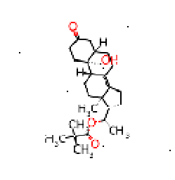 C[C@H](OC(=O)C(C)(C)C)[C@H]1CCC2=C3CC[C@@H]4CC(=O)CC[C@]4(CO)[C@H]3CC[C@@]21C